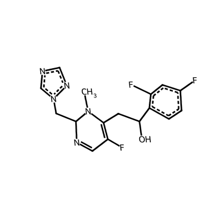 CN1C(CC(O)c2ccc(F)cc2F)=C(F)C=NC1Cn1cncn1